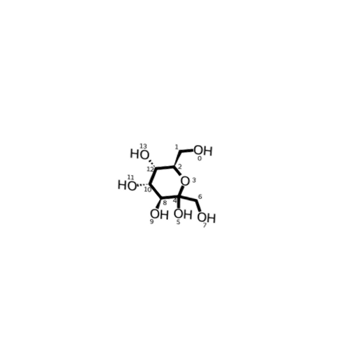 OC[C@H]1OC(O)(CO)[C@@H](O)[C@H](O)[C@@H]1O